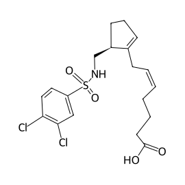 O=C(O)CCC/C=C\CC1=CCC[C@@H]1CNS(=O)(=O)c1ccc(Cl)c(Cl)c1